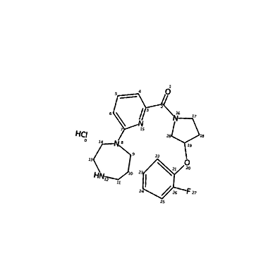 Cl.O=C(c1cccc(N2CCCNCC2)n1)N1CCC(Oc2ccccc2F)C1